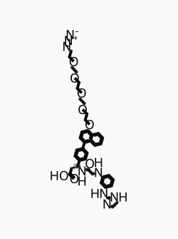 [N-]=[N+]=NCCOCCOCCOCCOCCOc1ccc(-c2ccc([C@H](CC(=O)O)NC(=O)CNc3cccc(NC4=NCCN4)c3)cc2)c2ccccc12